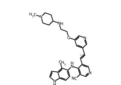 Cc1c(Nc2c(C#N)cncc2/C=C/c2cncc(OCCNC3CCN(C)CC3)c2)ccc2[nH]ccc12